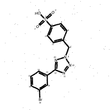 O=S(=O)(O)c1ccc(Cn2nnc(-c3cccc(Br)c3)n2)cc1